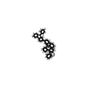 c1ccc(C2c3ccccc3-c3ccc(-c4ccc5c6ccccc6n(-c6ccccc6-c6cccc7oc8ccccc8c67)c5c4)cc32)cc1